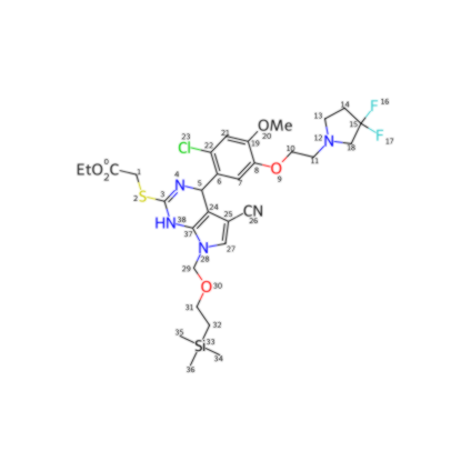 CCOC(=O)CSC1=NC(c2cc(OCCN3CCC(F)(F)C3)c(OC)cc2Cl)c2c(C#N)cn(COCC[Si](C)(C)C)c2N1